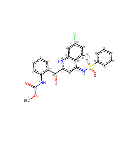 CC(C)(C)OC(=O)Nc1ccccc1C(=O)c1c/c(=N/S(=O)(=O)c2ccccc2)c2c(Cl)cc(Cl)cc2[nH]1